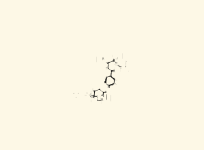 CNC(C)(C)C(C)CC(C)Oc1ccc(C(C)CC(C)C(C)N)cc1